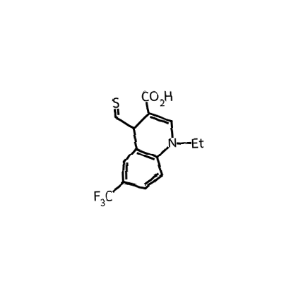 CCN1C=C(C(=O)O)C(C=S)c2cc(C(F)(F)F)ccc21